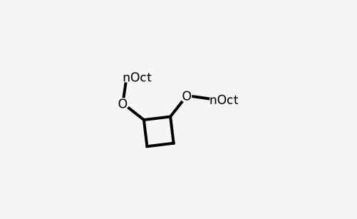 CCCCCCCCOC1CCC1OCCCCCCCC